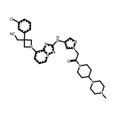 CN1CCN(C2CCN(C(=O)Cn3cc(Nc4nc5c(N6CC(CC#N)(c7cccc(Cl)c7)C6)cccn5n4)cn3)CC2)CC1